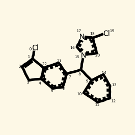 ClC1=CCc2ccc(C(c3ccccc3)n3cnc(Cl)c3)cc21